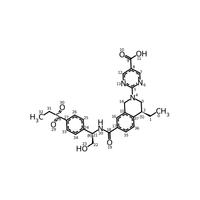 CC[C@@H]1CN(c2ncc(C(=O)O)cn2)Cc2cc(C(=O)N[C@@H](CO)c3ccc(S(=O)(=O)CC)cc3)ccc21